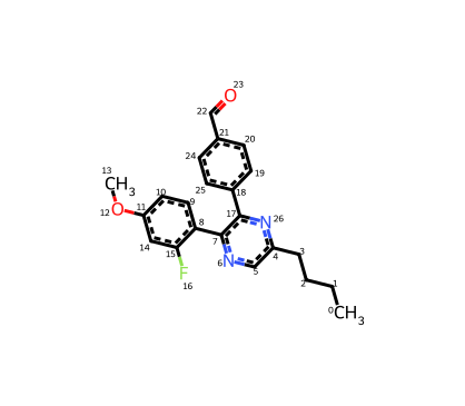 CCCCc1cnc(-c2ccc(OC)cc2F)c(-c2ccc(C=O)cc2)n1